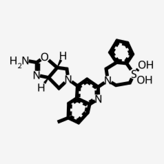 Cc1ccc2nc(N3CCS(O)(O)c4ccccc4C3)cc(N3C[C@@H]4N=C(N)O[C@@H]4C3)c2c1